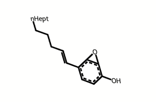 CCCCCCCCCCC=Cc1ccc(O)c2c1O2